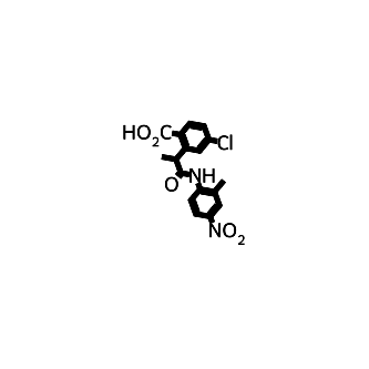 Cc1cc([N+](=O)[O-])ccc1NC(=O)C(C)c1cc(Cl)ccc1C(=O)O